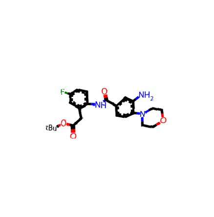 CC(C)(C)OC(=O)Cc1cc(F)ccc1NC(=O)c1ccc(N2CCOCC2)c(N)c1